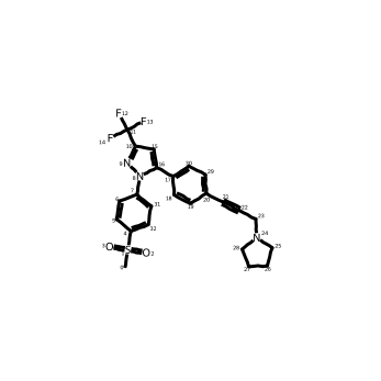 CS(=O)(=O)c1ccc(-n2nc(C(F)(F)F)cc2-c2ccc(C#CCN3CCCC3)cc2)cc1